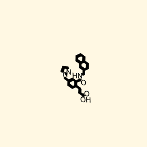 O=C(O)C=Cc1ccc(Cn2cccn2)cc1C(=O)NCc1ccc2ccccc2c1